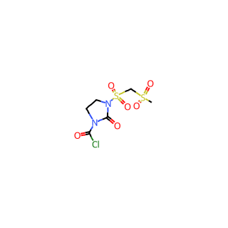 CS(=O)(=O)CS(=O)(=O)N1CCN(C(=O)Cl)C1=O